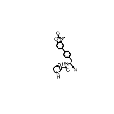 Cn1c(=O)oc2ccc(-c3ccc(C[C@@H](C#N)NC(=O)[C@@H]4OC5CCNC4C5)cc3)cc21